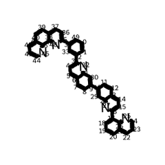 c1cc(-c2ccc3ccc(-c4ccc5ccc(-c6cccc7cccnc67)nc5c4)cc3n2)cc(-c2ccc3ccc4cccnc4c3n2)c1